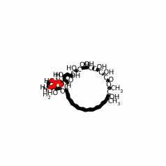 C[C@H]1C[C@H](O)[C@@H](C)/C=C/C=C/C=C/C=C/C=C/C=C/C=C/C(O[C@@H]2OC[C@@H](O)[C@H](N)[C@@H]2O)C[C@@H]2OC(O)(CC(O)CC(O)[C@H](O)CCC(O)CC(O)CC(=O)O1)C[C@H](O)[C@H]2C(=O)N[C@H]1CC[C@H](N)CC1